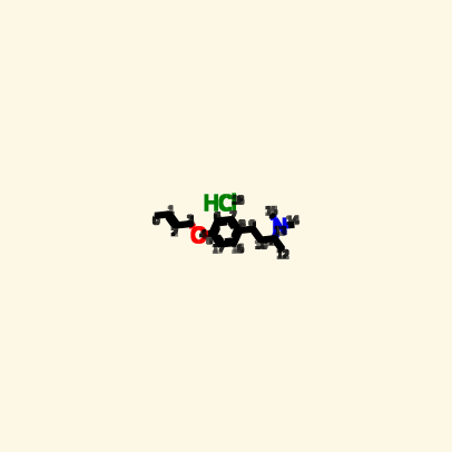 CC=CCOc1ccc(CCC(C)N(C)C)cc1.Cl